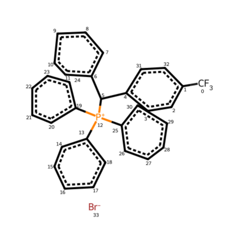 FC(F)(F)c1ccc(C(c2ccccc2)[P+](c2ccccc2)(c2ccccc2)c2ccccc2)cc1.[Br-]